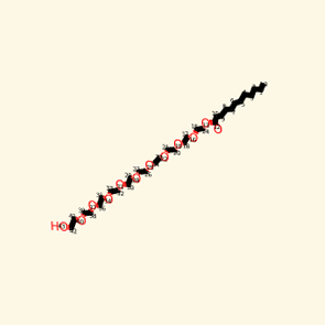 CCCCCCCCCCCC(=O)OCCOCCOCCOCCOCCOCCOCCOCCOCCOCCO